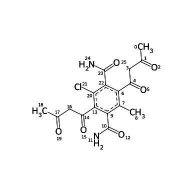 CC(=O)CC(=O)c1c(C)c(C(N)=O)c(C(=O)CC(C)=O)c(Cl)c1C(N)=O